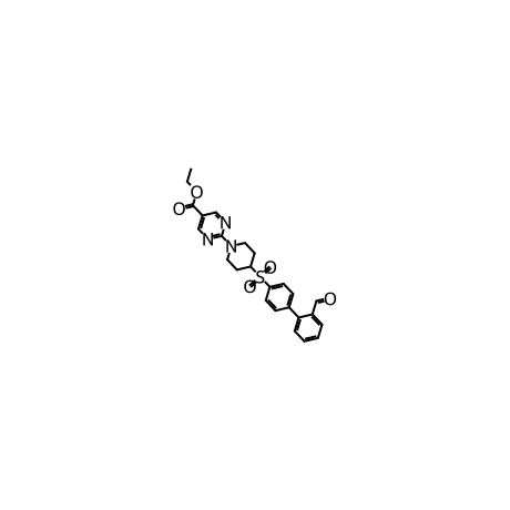 CCOC(=O)c1cnc(N2CCC(S(=O)(=O)c3ccc(-c4ccccc4C=O)cc3)CC2)nc1